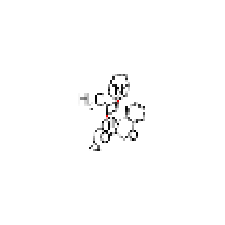 CC(CN1C(=O)COc2ccccc21)CN1C2CCC1CC(=CCOCC1CC1)C2